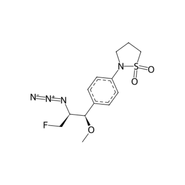 CO[C@H](c1ccc(N2CCCS2(=O)=O)cc1)[C@@H](CF)N=[N+]=[N-]